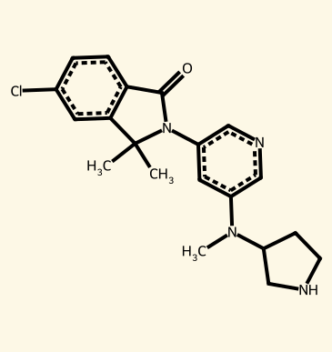 CN(c1cncc(N2C(=O)c3ccc(Cl)cc3C2(C)C)c1)C1CCNC1